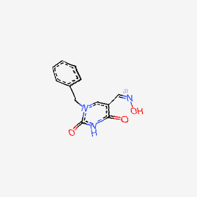 O=c1[nH]c(=O)n(Cc2ccccc2)cc1/C=N\O